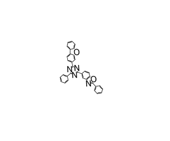 c1ccc(-c2nc(-c3ccc4oc(-c5ccccc5)nc4c3)nc(-c3ccc4c(c3)oc3ccccc34)n2)cc1